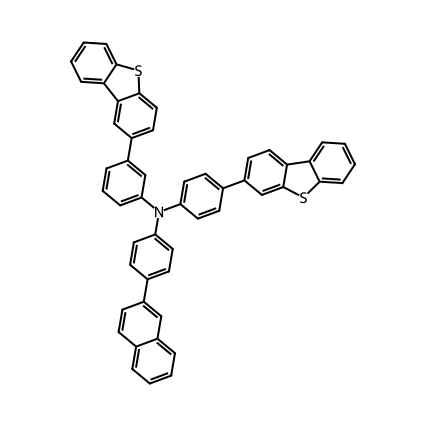 c1cc(-c2ccc3sc4ccccc4c3c2)cc(N(c2ccc(-c3ccc4ccccc4c3)cc2)c2ccc(-c3ccc4c(c3)sc3ccccc34)cc2)c1